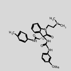 COc1cccc(NC(=O)N[C@]2(CC(=O)Nc3ccc(C)cc3)C(=O)N(CCN(C)C)c3ccccc32)c1